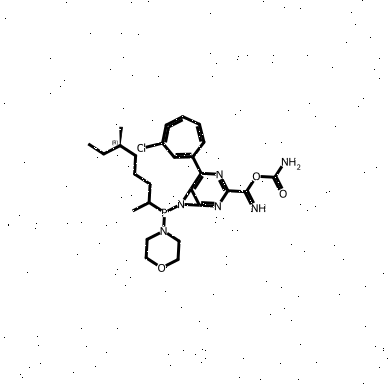 CC[C@@H](C)CCCC(C)P(N1CCOCC1)N1c2nc(C(=N)OC(N)=O)nc(C3=CC(Cl)=C=CC=C3)c21